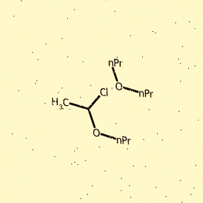 CCCOC(C)Cl.CCCOCCC